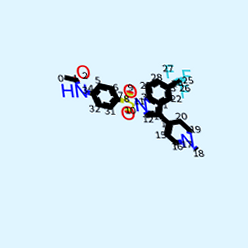 CC(=O)Nc1ccc(S(=O)(=O)n2cc(C3=CCN(C)CC3)c3cc(C(F)(F)F)ccc32)cc1